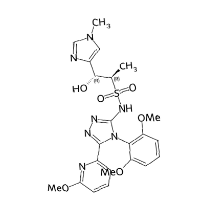 COc1cccc(-c2nnc(NS(=O)(=O)[C@H](C)[C@H](O)c3cn(C)cn3)n2-c2c(OC)cccc2OC)n1